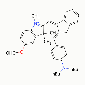 CCCCN(CCCC)c1ccc(/C=C2\Cc3ccccc3\C2=C\C2=[N+](C)c3ccc(OC=O)cc3C2(C)C)cc1